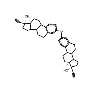 C#C[C@]1(O)CCC2C3CCc4cc(Oc5ccc6c(c5)CCC5C6CC[C@@]6(C)C5CC[C@@]6(O)C#C)ccc4C3CC[C@@]21C